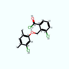 Cc1cc(C)c(OCc2c(Cl)cccc2C(=O)Cl)cc1Cl